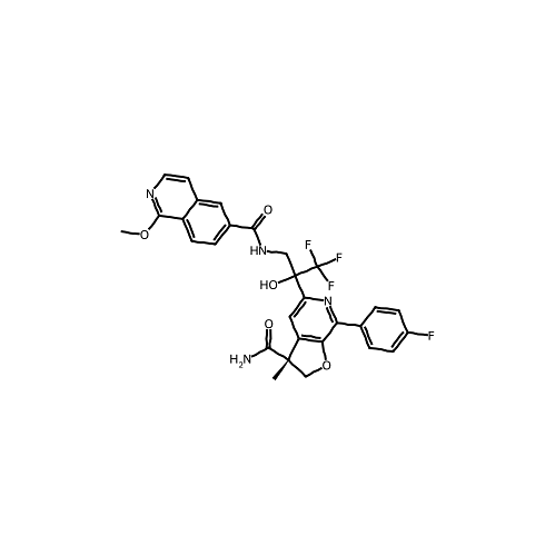 COc1nccc2cc(C(=O)NCC(O)(c3cc4c(c(-c5ccc(F)cc5)n3)OC[C@]4(C)C(N)=O)C(F)(F)F)ccc12